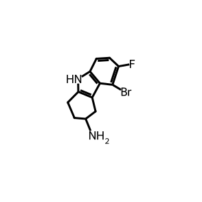 NC1CCc2[nH]c3ccc(F)c(Br)c3c2C1